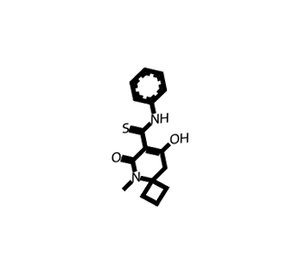 CN1C(=O)C(C(=S)Nc2ccccc2)=C(O)CC12CCC2